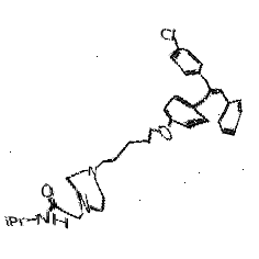 CC(C)NC(=O)CN1CCN(CCCCCOc2ccc(/C(=C\c3ccccc3)c3ccc(Cl)cc3)cc2)CC1